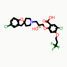 O=C(O)c1cc(Cl)c(OCCC(F)(F)F)cc1OC[C@H](O)CN1CCC2(CC1)Cc1cc(Cl)ccc1O2